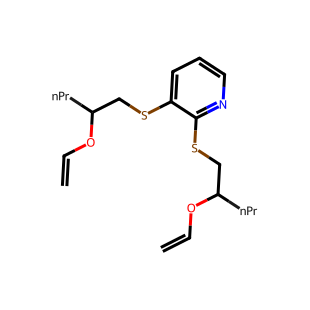 C=COC(CCC)CSc1cccnc1SCC(CCC)OC=C